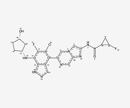 O=C(Nc1cn2cc(-c3c(Cl)c(F)c(N[C@@H]4CC[C@H](O)C4)c4[nH]ncc34)ncc2n1)C1CC1F